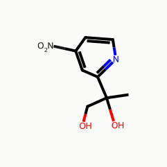 CC(O)(CO)c1cc([N+](=O)[O-])ccn1